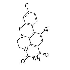 O=c1[nH]c(=O)n2c3c(c(-c4ccc(F)cc4F)c(Br)cc13)SCC2